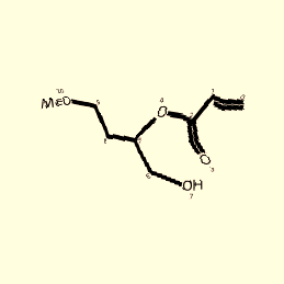 C=CC(=O)OC(CO)CCOC